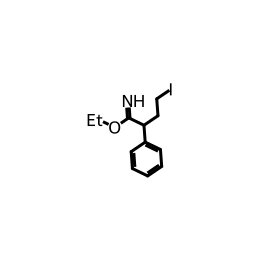 CCOC(=N)C(CCI)c1ccccc1